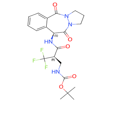 CC(C)(C)OC(=O)NC[C@H](C(=O)N[C@@H]1C(=O)N2CCCN2C(=O)c2ccccc21)C(F)(F)F